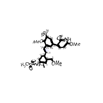 COCc1cc(NS(C)(=O)=O)ccc1/C=C/c1cc(-c2ccc(OC)[nH]c2=O)cc(C(C)(C)C)c1OC